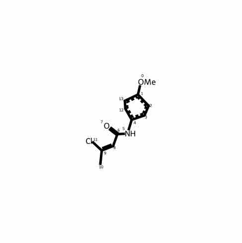 COc1ccc(NC(=O)C=C(C)Cl)cc1